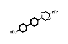 CCCCc1ccc(-c2ccc([C@@H]3CO[C@@H](CCC)CO3)cc2)cc1